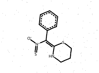 [O-][N+](=S)C(=C1NCCCS1)c1ccccc1